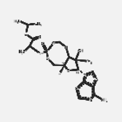 CC(C)OC(=O)C(C)NP1(=O)OCOC2[C@@H](CO1)O[C@@H](n1cnc3c(N)ncnc31)[C@@]2(C)O